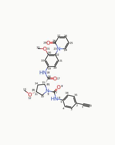 C#Cc1ccc(NC(=O)N2C[C@H](OC)C[C@@H]2C(=O)Nc2ccc(-n3ccccc3=O)c(OC)c2)cc1